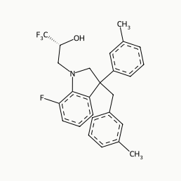 Cc1cccc(CC2(c3cccc(C)c3)CN(C[C@@H](O)C(F)(F)F)c3c(F)cccc32)c1